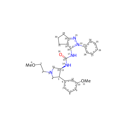 COCCN1CC(c2cccc(OC)c2)[C@H](NC(=O)Nc2c3c(nn2-c2ccccc2)CCC3)C1